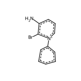 Nc1ccc[n+](-c2ccccc2)c1Br